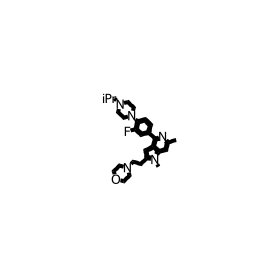 Cc1cc2c(cc(CCN3CCOCC3)n2C)c(-c2ccc(N3CCN(C(C)C)CC3)c(F)c2)n1